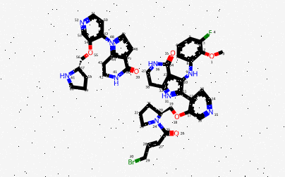 COc1c(F)cccc1Nc1c(-c2ccncc2OC[C@@H]2CCCN2C(=O)/C=C/CBr)[nH]c2c1C(=O)NCC2.O=C1NCCc2c1ccn2-c1ccncc1OC[C@@H]1CCCN1